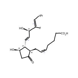 CCC/C=C(\F)[C@H](O)/C=C/[C@H]1[C@H](O)CC(=O)[C@@H]1C/C=C\CCCC(=O)O